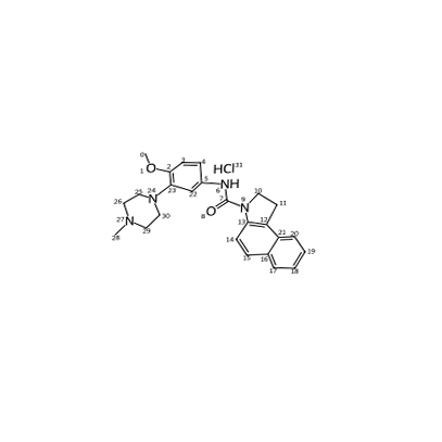 COc1ccc(NC(=O)N2CCc3c2ccc2ccccc32)cc1N1CCN(C)CC1.Cl